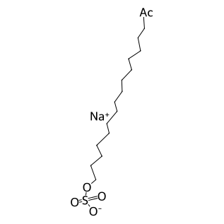 CC(=O)CCCCCCCCCCCCCCCOS(=O)(=O)[O-].[Na+]